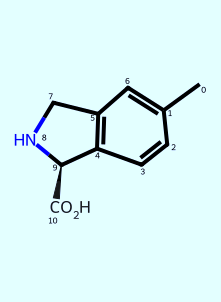 Cc1ccc2c(c1)CN[C@@H]2C(=O)O